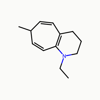 CCN1CCCC2=C1C=CC(C)C=C2